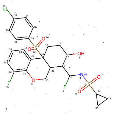 O=S(=O)(NC(F)C1C(O)CCC2(S(=O)(=O)c3ccc(Cl)cc3)c3cccc(F)c3OCC12)C1CC1